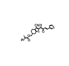 CC(C)N(C)C(=O)OCC1CCc2c(sc(NC(=O)C=Cc3ccsc3)c2C#N)C1